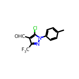 Cc1ccc(-n2nc(C(F)(F)F)c(C=O)c2Cl)cc1